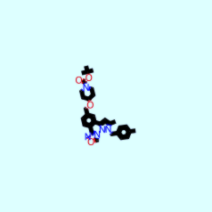 Cc1ccc(Cn2nc(-c3cc(COC4CCN(C(=O)OC(C)(C)C)CC4)ccc3-c3ncon3)cc2C)cc1